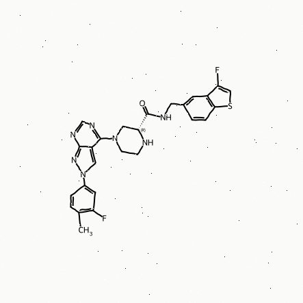 Cc1ccc(-n2cc3c(N4CCN[C@@H](C(=O)NCc5ccc6scc(F)c6c5)C4)ncnc3n2)cc1F